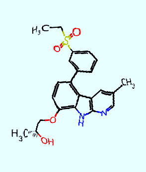 CCS(=O)(=O)c1cccc(-c2ccc(OC[C@@H](C)O)c3[nH]c4ncc(C)cc4c23)c1